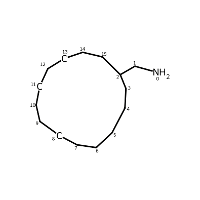 NCC1CCCCCCCCCCCCC1